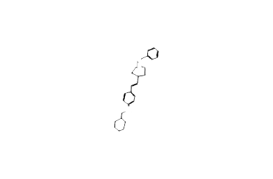 C(=CC1CCN(Cc2ccccc2)CC1)c1ccc(OCC2CCCCC2)cc1